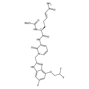 COC(=O)N[C@@H](CC/C=C/C(N)=O)C(=O)Nc1cccn(Cc2nc3c(OCC(F)F)cc(F)cc3[nH]2)c1=O